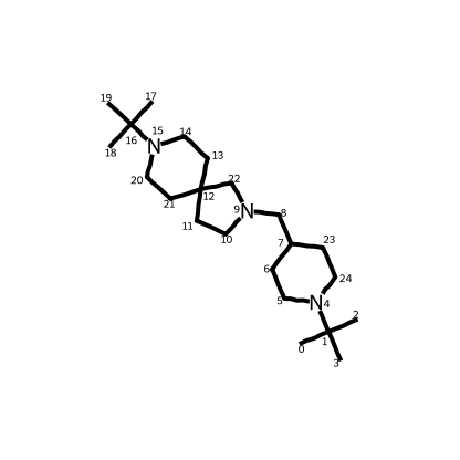 CC(C)(C)N1CCC(CN2CCC3(CCN(C(C)(C)C)CC3)C2)CC1